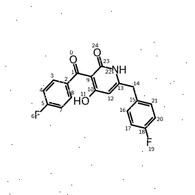 O=C(c1ccc(F)cc1)c1c(O)cc(Cc2ccc(F)cc2)[nH]c1=O